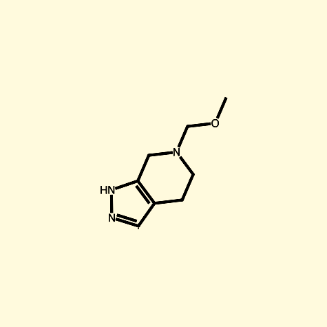 COCN1CCc2[c]n[nH]c2C1